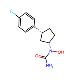 NC(=O)N(O)[C@H]1CC[C@@H](c2ccc(F)cc2)C1